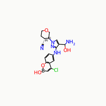 N#C[C@@H]1CCOC[C@H]1n1cc(C(N)O)c(Nc2ccc3c(c2)C(Cl)=CB(O)O3)n1